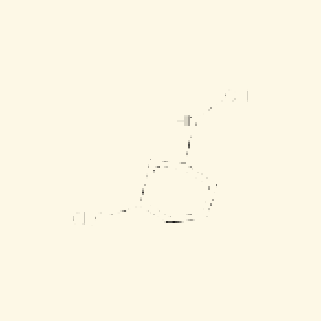 ONc1cccc(C(Cl)(Cl)Cl)c1